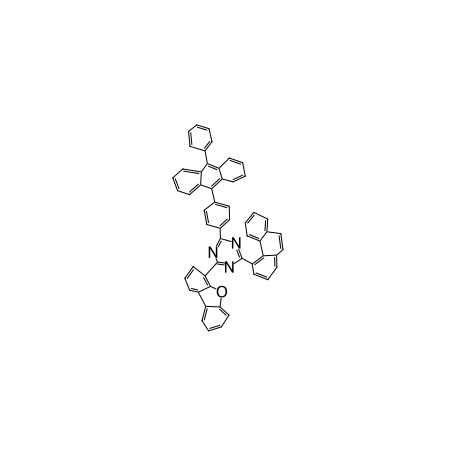 c1ccc(-c2c3ccccc3c(-c3ccc(-c4nc(-c5cccc6c5oc5ccccc56)nc(-c5cccc6ccc7ccccc7c56)n4)cc3)c3ccccc23)cc1